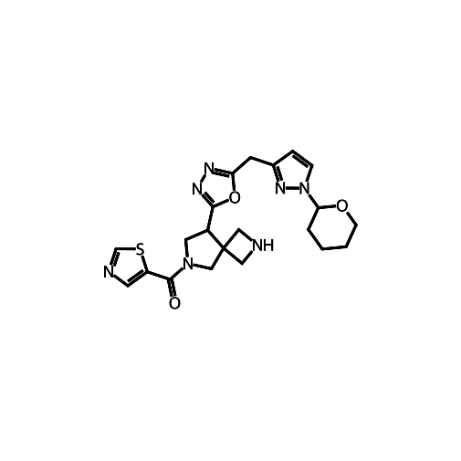 O=C(c1cncs1)N1CC(c2nnc(Cc3ccn(C4CCCCO4)n3)o2)C2(CNC2)C1